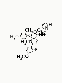 COc1ccc(-c2ccc(C(=O)NS(=O)(=O)c3cc[nH]n3)c(Oc3c(C)cc(C)cc3C)n2)c(F)c1